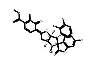 COC(=O)C1=C(C)C(=N)/C(=C2/C[C@H]3[C@@H](N2)[C@H](c2cccc(Cl)c2F)[C@]2(C(=O)Nc4cc(Cl)ccc42)N3O)C=C1